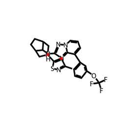 Cc1cc(N2CC3CCC(C2)C3Nc2nc3c(-c4cccc(OC(F)(F)F)c4)cccn3n2)sn1